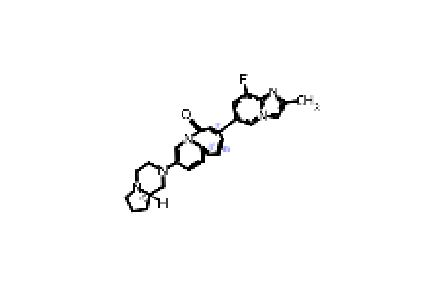 Cc1cn2cc(C3=C\C(=O)N4C=C(N5CCN6CCC[C@H]6C5)C=C\C4=C/C=C/3)cc(F)c2n1